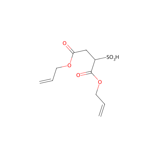 C=CCOC(=O)CC(C(=O)OCC=C)S(=O)(=O)O